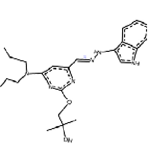 CCCN(CCC)c1cc(/C=N/Nc2c[nH]c3ccccc23)nc(OCC(C)(C)O)n1